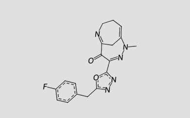 CN1N=C(c2nnc(Cc3ccc(F)cc3)o2)C(=O)C2=NCCC=C1C2